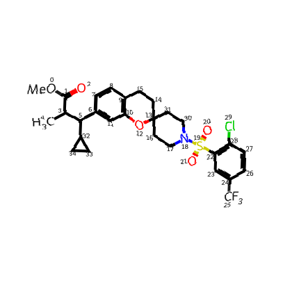 COC(=O)C(C)C(c1ccc2c(c1)OC1(CC2)CCN(S(=O)(=O)c2cc(C(F)(F)F)ccc2Cl)CC1)C1CC1